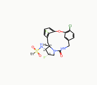 CCS(=O)(=O)N[C@H]1[C@@H](F)CN2C(=O)NCc3ccc(Cl)c(c3)Oc3cccc(c3F)C[C@@H]12